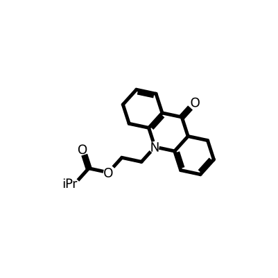 CC(C)C(=O)OCCN1C2=CC=CCC2C(=O)C2=C1CCC=C2